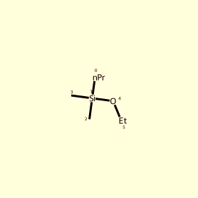 [CH2]CC[Si](C)(C)OCC